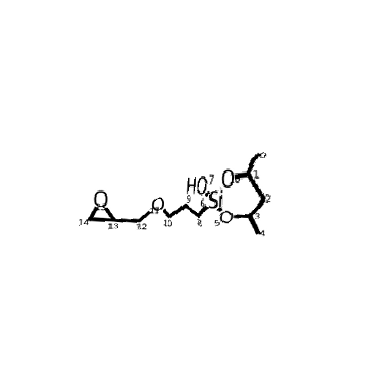 CC1CC(C)O[Si](O)(CCCOCC2CO2)O1